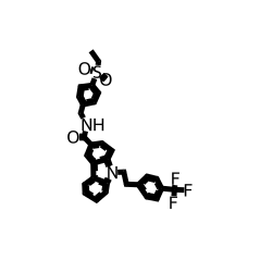 CCS(=O)(=O)c1ccc(CNC(=O)c2ccc3c(c2)c2ccccc2n3CCc2ccc(C(F)(F)F)cc2)cc1